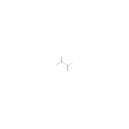 NC(C(N)S(=O)(=O)O)S(=O)(=O)O